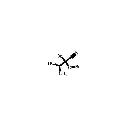 CC(O)C(Br)(C#N)OBr